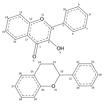 O=c1c(O)c(-c2ccccc2)oc2ccccc12.c1ccc(C2CCc3ccccc3O2)cc1